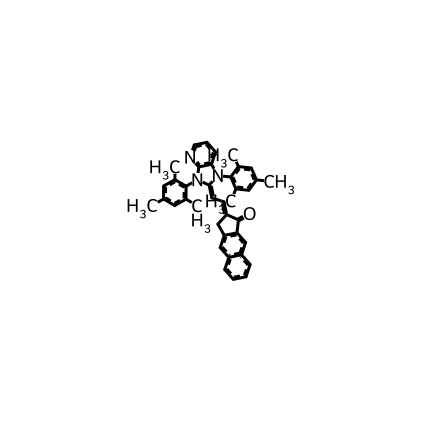 Cc1cc(C)c(N2/C(=C\C=C3/Cc4cc5ccccc5cc4C3=O)N(c3c(C)cc(C)cc3C)c3ncccc32)c(C)c1